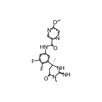 COc1cnc(C(=O)Nc2cc(F)c(F)c([C@]3(C)CC(=O)N(C)C(=N)N3)c2)cn1